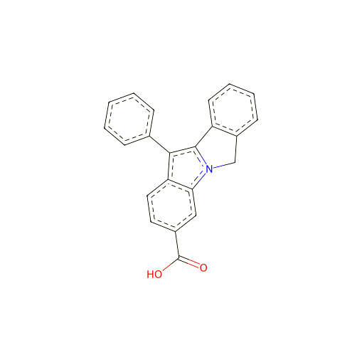 O=C(O)c1ccc2c(-c3ccccc3)c3n(c2c1)Cc1ccccc1-3